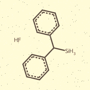 F.[SiH3]C(c1ccccc1)c1ccccc1